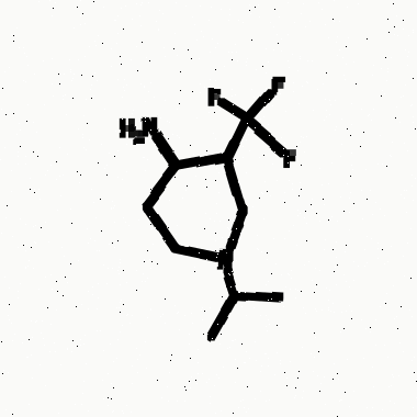 CC(C)N1CCC(N)C(C(F)(F)F)C1